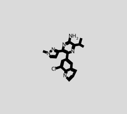 CC(C)c1nc(-c2cc(Cl)c3ncccc3c2)c(-c2ccn(C)n2)nc1N